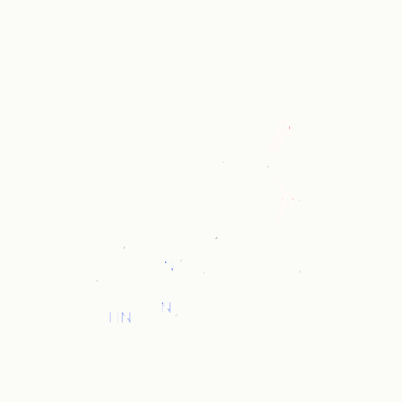 CCCCCc1c[nH]nn1.O=c1ccc2ccccc2o1